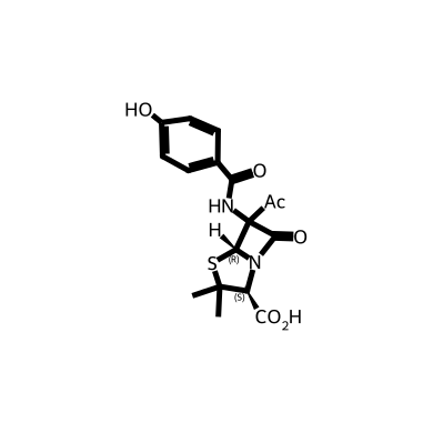 CC(=O)C1(NC(=O)c2ccc(O)cc2)C(=O)N2[C@@H](C(=O)O)C(C)(C)S[C@@H]21